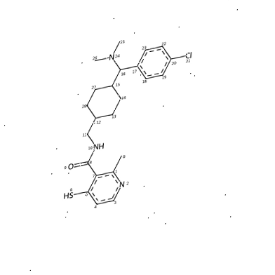 Cc1nccc(S)c1C(=O)NCC1CCC(C(c2ccc(Cl)cc2)N(C)C)CC1